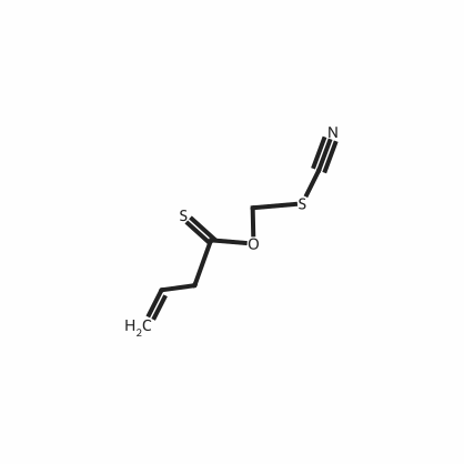 C=CCC(=S)OCSC#N